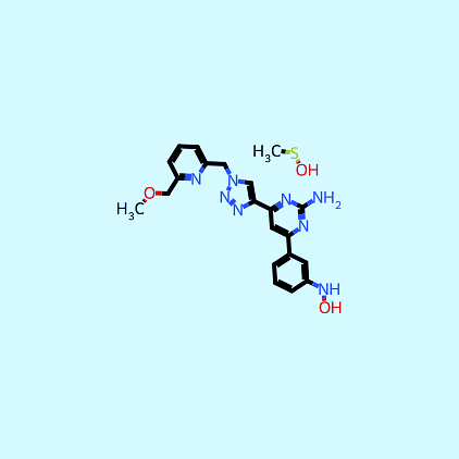 COCc1cccc(Cn2cc(-c3cc(-c4cccc(NO)c4)nc(N)n3)nn2)n1.CSO